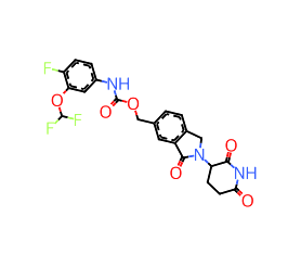 O=C1CCC(N2Cc3ccc(COC(=O)Nc4ccc(F)c(OC(F)F)c4)cc3C2=O)C(=O)N1